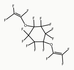 FC(F)=C(F)OC1(F)C(F)(F)C(F)(F)C(F)(OC(F)=C(F)F)C(F)(F)C1(F)F